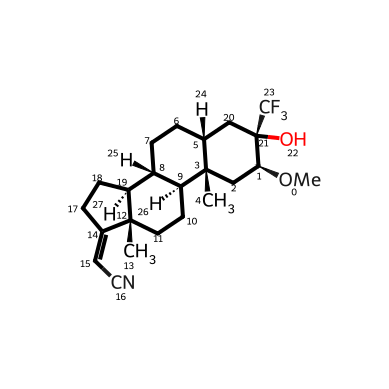 CO[C@H]1C[C@@]2(C)[C@H](CC[C@@H]3[C@@H]2CC[C@]2(C)/C(=C\C#N)CC[C@@H]32)C[C@@]1(O)C(F)(F)F